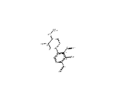 COC1CCN(c2ccc(C=O)c(F)c2C=O)CC1F